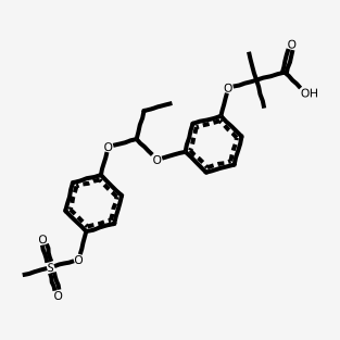 CCC(Oc1ccc(OS(C)(=O)=O)cc1)Oc1cccc(OC(C)(C)C(=O)O)c1